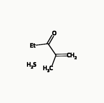 C=C(C)C(=O)CC.S